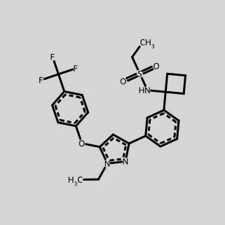 CCn1nc(-c2cccc(C3(NS(=O)(=O)CC)CCC3)c2)cc1Oc1ccc(C(F)(F)F)cc1